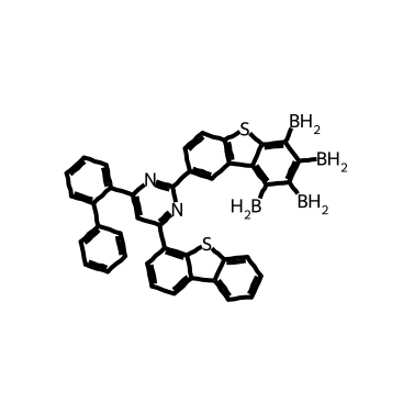 Bc1c(B)c(B)c2c(sc3ccc(-c4nc(-c5ccccc5-c5ccccc5)cc(-c5cccc6c5sc5ccccc56)n4)cc32)c1B